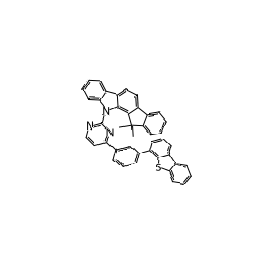 CC1(C)c2ccccc2-c2ccc3c4ccccc4n(-c4nccc(-c5cccc(-c6cccc7c6sc6ccccc67)c5)n4)c3c21